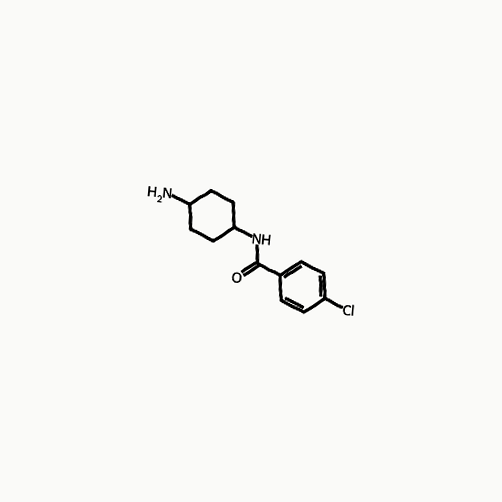 NC1CCC(NC(=O)c2ccc(Cl)cc2)CC1